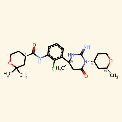 C[C@@H]1C[C@H](N2C(=N)N[C@](C)(c3cccc(NC(=O)[C@@H]4CCOC(C)(C)C4)c3Cl)CC2=O)CCO1